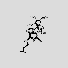 Cc1nc(NCCC(C)C)c2ncn([C@]3(S(=O)(=O)O)O[C@H](CO)[C@@H](O)[C@H]3O)c2n1